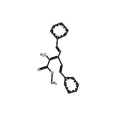 CC(C(=O)O[SiH3])=C(C=Cc1ccccc1)C=Cc1ccccc1